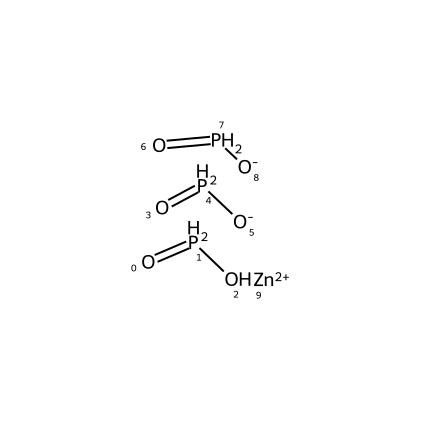 O=[PH2]O.O=[PH2][O-].O=[PH2][O-].[Zn+2]